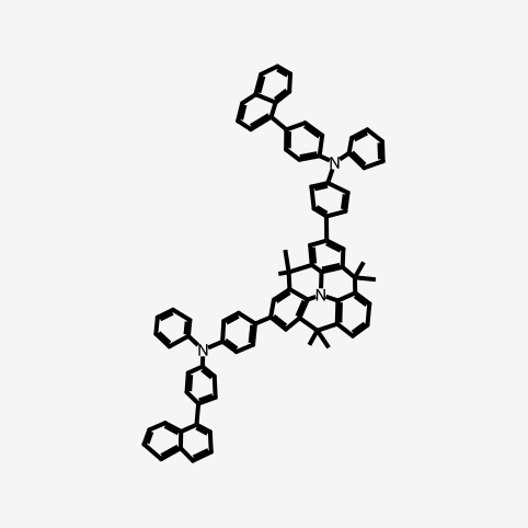 CC1(C)c2cccc3c2N2c4c1cc(-c1ccc(N(c5ccccc5)c5ccc(-c6cccc7ccccc67)cc5)cc1)cc4C(C)(C)c1cc(-c4ccc(N(c5ccccc5)c5ccc(-c6cccc7ccccc67)cc5)cc4)cc(c12)C3(C)C